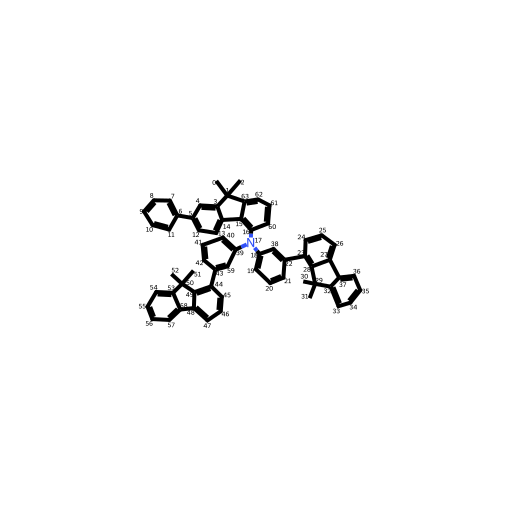 CC1(C)c2cc(-c3ccccc3)ccc2-c2c(N(c3cccc(-c4cccc5c4C(C)(C)c4ccccc4-5)c3)c3cccc(-c4cccc5c4C(C)(C)c4ccccc4-5)c3)cccc21